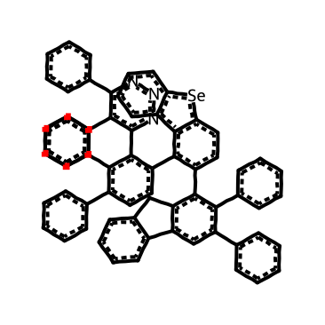 c1ccc(-c2ccc(-c3c(-c4c5c(cc(-c6ccccc6)c4-c4ccccc4)-c4ccccc4C5)ccc4[se]c5ccccc5c34)c(-c3nnnc(-c4ccccc4)c3-c3ccccc3)c2-c2ccccc2)cc1